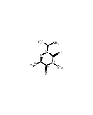 Cc1nn(C(C)C)c(=O)n(C)c1=O